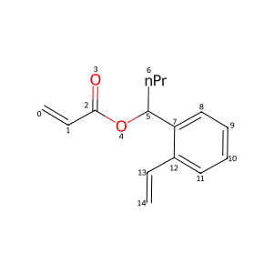 C=CC(=O)OC(CCC)c1ccccc1C=C